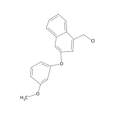 COc1cccc(Oc2cc(CCl)c3ccccc3c2)c1